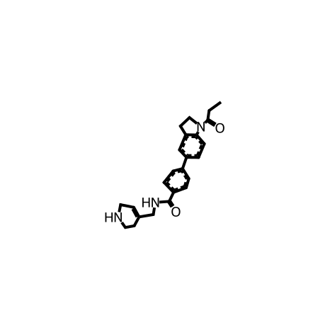 CCC(=O)N1CCc2cc(-c3ccc(C(=O)NCC4=CCNCC4)cc3)ccc21